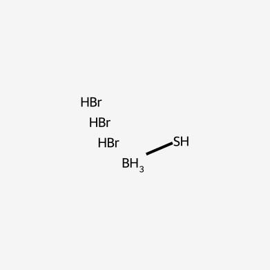 B.Br.Br.Br.CS